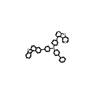 C1=CC(c2ccc(N(c3ccc(-c4ccccc4)cc3)c3ccc(-c4ccc5c(ccc6oc7ccccc7c65)c4)cc3)cc2)=C2c3ccccc3OC2C1